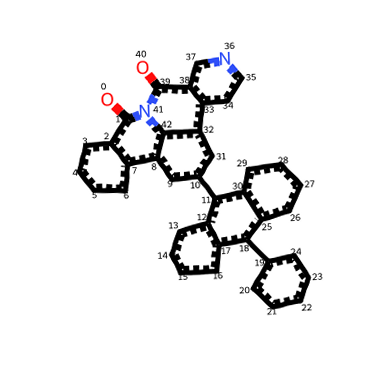 O=c1c2ccccc2c2cc(-c3c4ccccc4c(-c4ccccc4)c4ccccc34)cc3c4ccncc4c(=O)n1c23